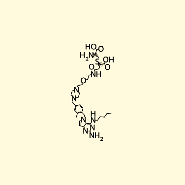 CCCCCNc1nc(N)nc2ccn(Cc3ccc(CN4CCN(CCOCCNC(=O)C[C@@H](SC[C@H](N)C(=O)O)C(=O)O)CC4)cc3C)c12